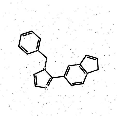 C1=Cc2cc(-c3nccn3Cc3ccccc3)ccc2C1